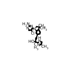 Cc1c[nH]c(C(C)(O)C#Cc2ccc3c(c2)N(c2nc(N)ncc2Cl)CC3(C)C)n1